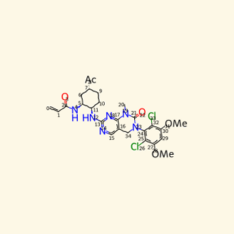 C=CC(=O)N[C@H]1C[C@H](C(C)=O)CC[C@H]1Nc1ncc2c(n1)N(C)C(=O)N(c1c(Cl)c(OC)cc(OC)c1Cl)C2